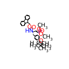 CCOP(=O)(/C=C/[C@H](Cc1ccc(O[Si](C)(C)C(C)(C)C)cc1)NC(=O)OCC1c2ccccc2-c2ccccc21)OCC